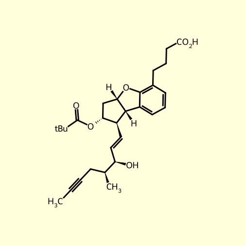 CC#CC[C@H](C)[C@H](O)/C=C/[C@@H]1[C@H]2c3cccc(CCCC(=O)O)c3O[C@H]2C[C@H]1OC(=O)C(C)(C)C